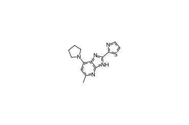 Cc1cc(N2CCCC2)c2nc(-c3nccs3)[nH]c2n1